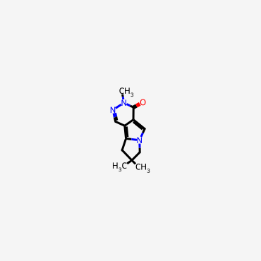 Cn1ncc2c3n(cc2c1=O)CC(C)(C)C3